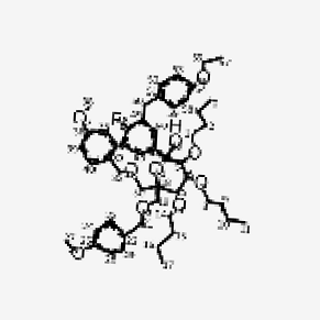 CCCCOC1[C@@H](OCCCC)[C@H](OCCCC)C(COCc2ccc(OC)cc2)(COCc2ccc(OC)cc2)OC1(O)c1ccc(F)c(Cc2ccc(OCC)cc2)c1